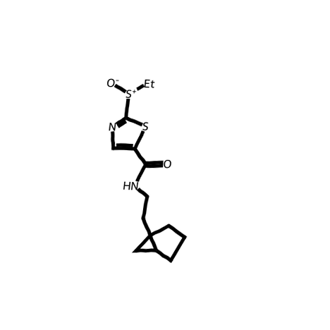 CC[S+]([O-])c1ncc(C(=O)NCCC23CCCC2C3)s1